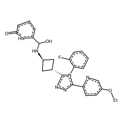 CCOc1ccc(-c2nnc([C@H]3C[C@H](NC(O)c4cccc(=O)[nH]4)C3)n2-c2ccccc2F)nc1